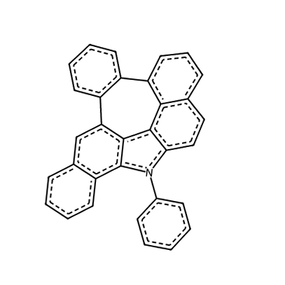 c1ccc(-n2c3ccc4cccc5c4c3c3c(cc4ccccc4c32)-c2ccccc2-5)cc1